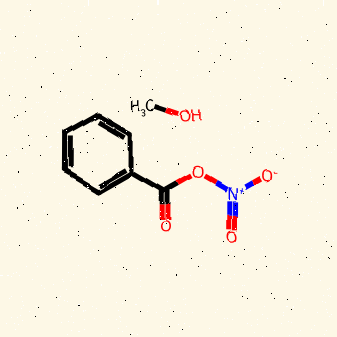 CO.O=C(O[N+](=O)[O-])c1ccccc1